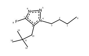 CCCCn1nnc(F)c1CC(C)(C)C